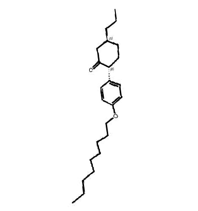 CCCCCCCCCOc1ccc([C@H]2CC[C@H](CCC)CC2=O)cc1